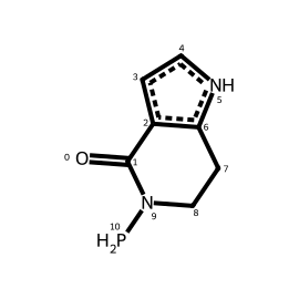 O=C1c2cc[nH]c2CCN1P